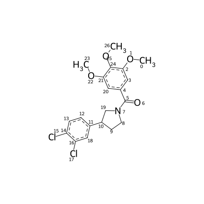 COc1cc(C(=O)N2CCC(c3ccc(Cl)c(Cl)c3)C2)cc(OC)c1OC